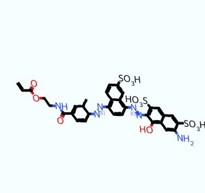 C=CC(=O)OCCNC(=O)C1=CC(C)C(/N=N/c2ccc(/N=N/c3c(S(=O)(=O)O)cc4cc(S(=O)(=O)O)c(N)cc4c3O)c3cc(S(=O)(=O)O)ccc23)C=C1